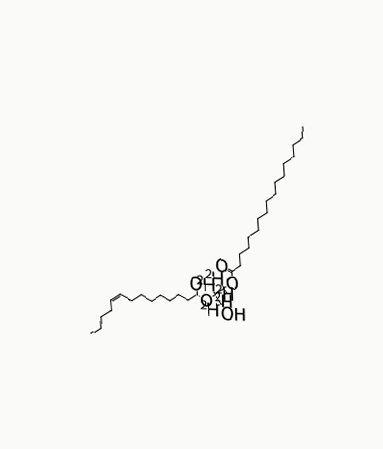 [2H]C([2H])(O)[C@]([2H])(OC(=O)CCCCCCC/C=C\CCCC)C([2H])([2H])OC(=O)CCCCCCCCCCCCCCCC